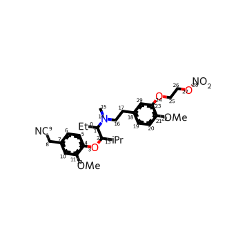 CCC(C(Oc1ccc(CC#N)cc1OC)C(C)C)N(C)CCc1ccc(OC)c(OCCO[N+](=O)[O-])c1